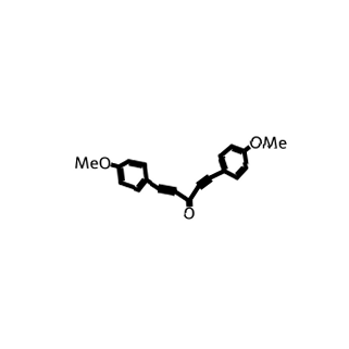 COc1ccc(C#CC(=O)C#Cc2ccc(OC)cc2)cc1